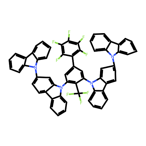 Fc1c(F)c(F)c(-c2cc(-n3c4ccccc4c4ccc(-n5c6ccccc6c6ccccc65)cc43)c(C(F)(F)F)c(-n3c4ccccc4c4ccc(-n5c6ccccc6c6ccccc65)cc43)c2)c(F)c1F